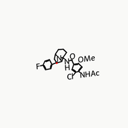 COc1cc(NC(C)=O)c(Cl)cc1C(=O)NC12CCCC(CCC1)N2Cc1ccc(F)cc1